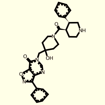 O=C([C@@H]1CCNC[C@H]1c1ccccc1)N1CCC(O)(Cn2cnc3c(-c4ccccc4)noc3c2=O)CC1